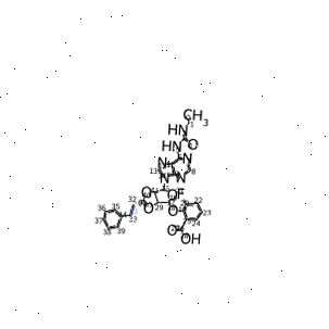 CCNC(=O)Nc1ncnc2c1ncn2C1OC(Oc2c(F)cccc2C(=O)O)C2O[C@H](/C=C/c3ccccc3)OC21